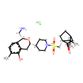 Cc1ccc2c(c1O)C[C@@H](C1CCN(S(=O)(=O)C[C@@]34CCC(CC3=O)C4(C)C)CC1)O[C@H]2CN.Cl